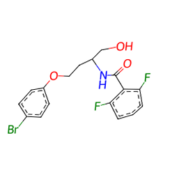 O=C(NC(CO)CCOc1ccc(Br)cc1)c1c(F)cccc1F